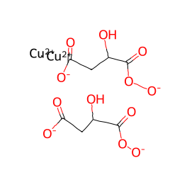 O=C([O-])CC(O)C(=O)O[O-].O=C([O-])CC(O)C(=O)O[O-].[Cu+2].[Cu+2]